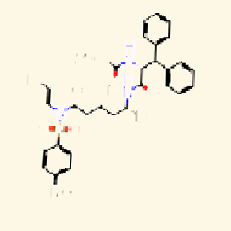 CC[C@@H](CCC[C@@H](C(=O)O)N(CCC(C)C)S(=O)(=O)c1ccc([N+](=O)[O-])cc1)NC(=O)[C@@H](NC(=O)OC)C(c1ccccc1)c1ccccc1